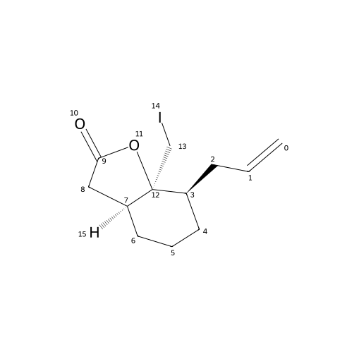 C=CC[C@H]1CCC[C@H]2CC(=O)O[C@@]12CI